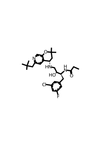 CCC(=O)N[C@@H](Cc1cc(F)cc(Cl)c1)[C@H](O)CN[C@H]1CC(C)(C)Oc2cnc(CC(C)(C)C)cc21